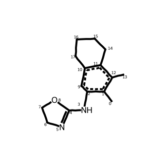 Cc1c(NC2=NCCO2)cc2c(c1C)CCCC2